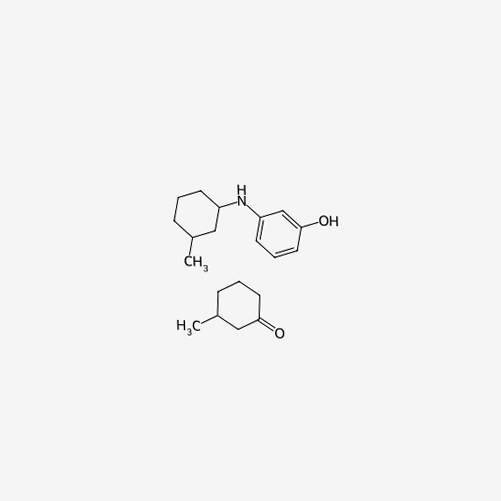 CC1CCCC(=O)C1.CC1CCCC(Nc2cccc(O)c2)C1